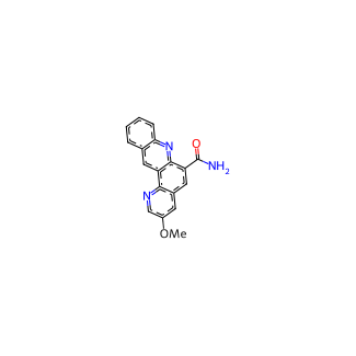 COc1cnc2c(c1)cc(C(N)=O)c1nc3ccccc3cc12